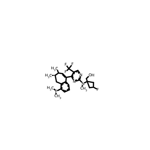 CC1C=C(c2nc(N(C)C3(CO)CC(F)C3)ncc2C(F)(F)F)c2cccc(P(C)C)c2C[C@H]1C